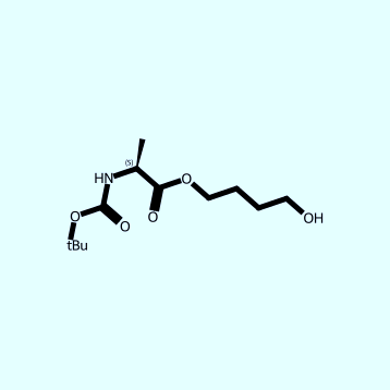 C[C@H](NC(=O)OC(C)(C)C)C(=O)OCCCCO